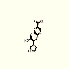 O=C(O)c1cnc(C[C@H](C(=O)O)[C@H]2CCNC2)cn1